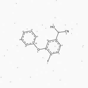 N#CC(O)c1ccc(F)c(Oc2ccccc2)c1